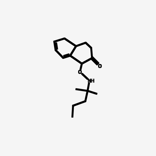 CCCC(C)(C)NOC1C(=O)CCC2CC=CC=C21